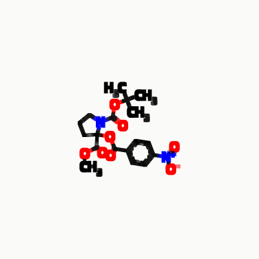 COC(=O)C1(OC(=O)c2ccc([N+](=O)[O-])cc2)CCCN1C(=O)OC(C)(C)C